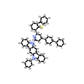 c1ccc(-c2ccc(-c3cc(-c4cccc5c4sc4ccccc45)nc(-n4c5ccccc5c5cc6c(cc54)c4ccccc4n6-c4ccccc4)c3)cc2)cc1